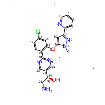 Cn1nc(-c2ccccn2)cc1Oc1cc(Cl)ccc1-c1ncc([C@@H](O)CN)cn1